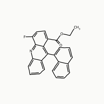 CCOC(=O)c1ccc(F)c2nc3ccccc3c(-c3cccc4ccccc34)c12